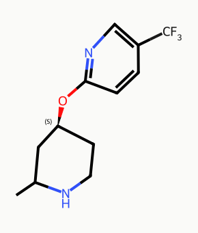 CC1C[C@@H](Oc2ccc(C(F)(F)F)cn2)CCN1